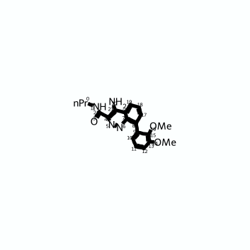 CCCNC(=O)c1nnc2c(-c3cccc(OC)c3OC)cccc2c1N